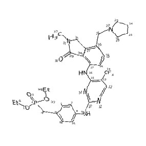 CCOP(=O)(Cc1ccc(Nc2ncc(C(F)(F)F)c(Nc3ccc(CN4CCCC4)c4c3C(=O)N(C)C4)n2)cc1)OCC